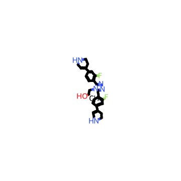 CC(O)Cn1c(-c2ccc(C3=CCNCC3)cc2F)nnc1-c1ccc(C2=CCNCC2)cc1F